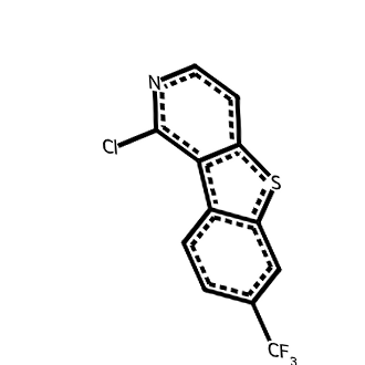 FC(F)(F)c1ccc2c(c1)sc1ccnc(Cl)c12